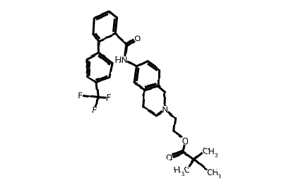 CC(C)(C)C(=O)OCCN1CCc2cc(NC(=O)c3ccccc3-c3ccc(C(F)(F)F)cc3)ccc2C1